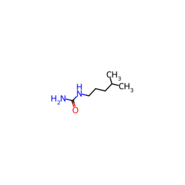 CC(C)CCCNC(N)=O